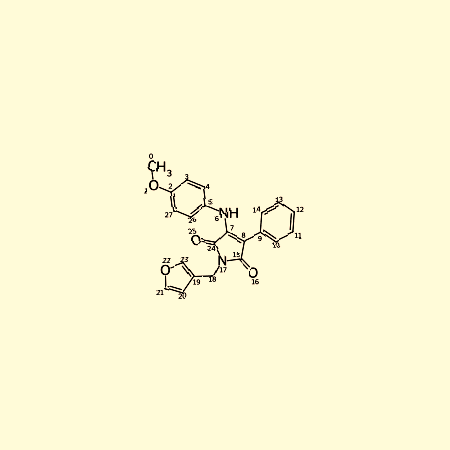 COc1ccc(NC2=C(c3ccccc3)C(=O)N(Cc3ccoc3)C2=O)cc1